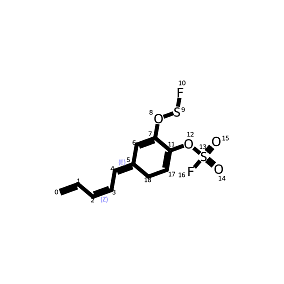 C=C/C=C\C=C1\C=C(OSF)C(OS(=O)(=O)F)=CC1